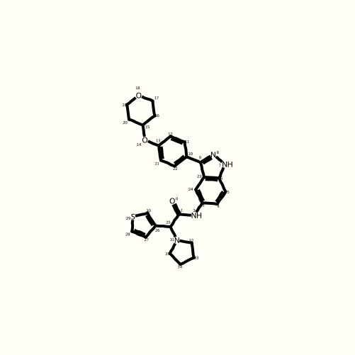 O=C(Nc1ccc2[nH]nc(-c3ccc(OC4CCOCC4)cc3)c2c1)C(c1ccsc1)N1CCCC1